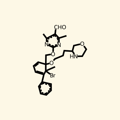 Cc1nc(OCC2(OCCCC3COCCN3)C=CC=C(c3ccccc3)C2(C)Br)nc(C)c1C=O